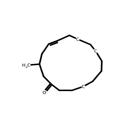 CC1CC=CCCCCCCCCCCC(=O)C1